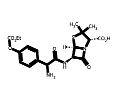 CCOC(=O)Oc1ccc(C(N)C(=O)N[C@@H]2C(=O)N3[C@@H]2SC(C)(C)[C@@H]3C(=O)O)cc1